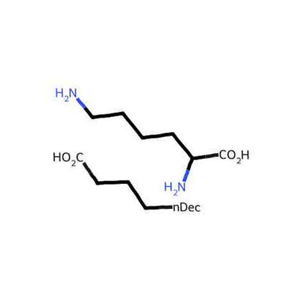 CCCCCCCCCCCCCC(=O)O.NCCCCC(N)C(=O)O